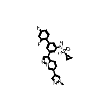 Cn1cc(-c2ccc3c(-c4cc(NS(=O)(=O)C5CC5)cc(-c5ccc(F)cc5F)c4)cnn3c2)cn1